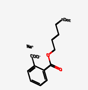 CCCCCCCCCCCCCCOC(=O)c1ccccc1C(=O)[O-].[Na+]